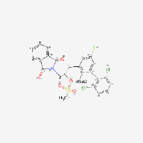 COc1c(C[C@@H](CN2C(=O)c3ccccc3C2=O)OS(C)(=O)=O)cc(F)cc1-c1c(Cl)cccc1Cl